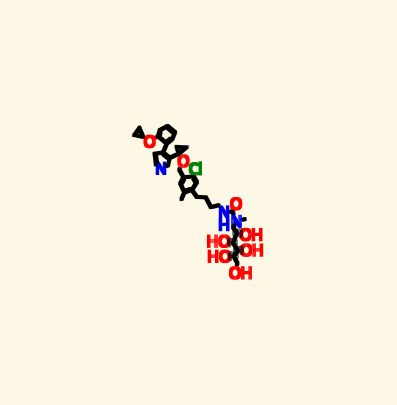 Cc1cc(COC2(c3cnccc3-c3ccccc3OC3CC3)CC2)c(Cl)cc1CCCCNC(=O)N(C)C[C@H](O)[C@@H](O)[C@H](O)[C@H](O)CO